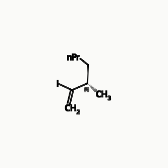 C=C(I)[C@@H](C)CCCC